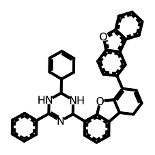 C1=CCC(C2NC(c3ccccc3)=NC(c3cccc4c3OC3=C(c5ccc6oc7ccccc7c6c5)C=CCC34)N2)C=C1